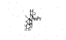 CCCC(N)N[C@H](C)Cc1ccccc1